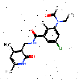 CCN(C(C)=O)c1cc(Cl)cc(C(=O)NCc2c(C)cc(C)[nH]c2=O)c1C